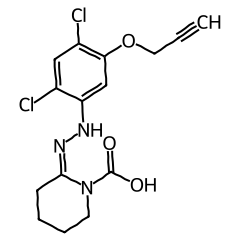 C#CCOc1cc(N/N=C2/CCCCN2C(=O)O)c(Cl)cc1Cl